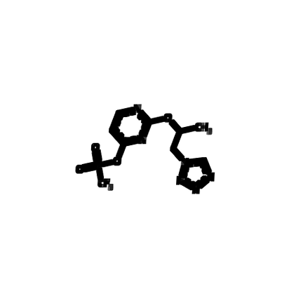 CC(Cn1cnnn1)Oc1nccc(OS(=O)(=O)C(F)(F)F)n1